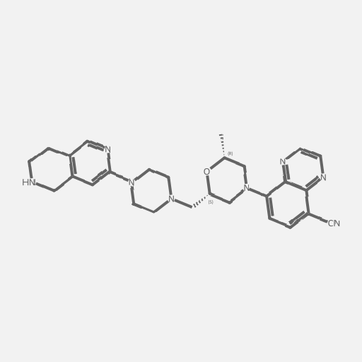 C[C@@H]1CN(c2ccc(C#N)c3nccnc23)C[C@H](CN2CCN(c3cc4c(cn3)CCNC4)CC2)O1